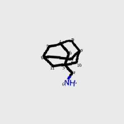 [NH]CC12CC3CC(CC(C3)C1)C2